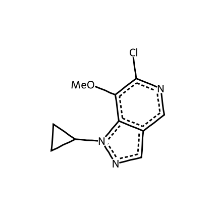 COc1c(Cl)ncc2cnn(C3CC3)c12